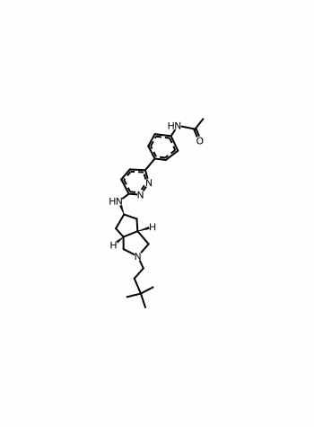 CC(=O)Nc1ccc(-c2ccc(N[C@H]3C[C@@H]4CN(CCC(C)(C)C)C[C@@H]4C3)nn2)cc1